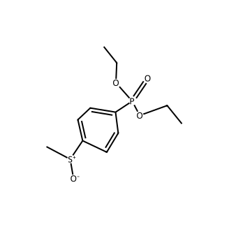 CCOP(=O)(OCC)c1ccc([S+](C)[O-])cc1